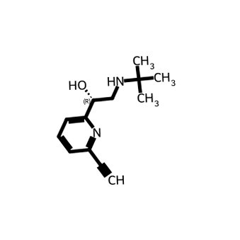 C#Cc1cccc([C@H](O)CNC(C)(C)C)n1